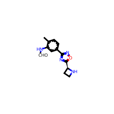 Cc1ccc(-c2noc([C@@H]3CCN3)n2)cc1NC=O